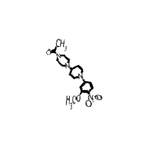 COc1cc(N2CCC(N3CCN(C(C)=O)CC3)CC2)ccc1[N+](=O)[O-]